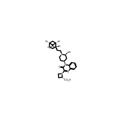 CCC[C@H]1C[C@@H](n2c(=O)c(N3CC[C@H]3C(=O)O)nc3ccccc32)CCN1CC[C@@H]1CC[C@H]2C[C@@H]1C2(C)C